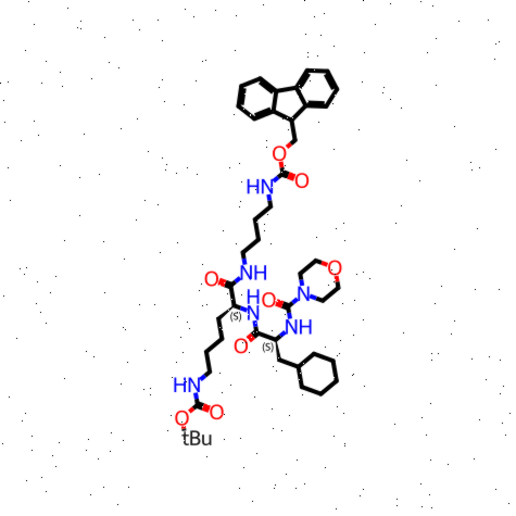 CC(C)(C)OC(=O)NCCCC[C@H](NC(=O)[C@H](CC1CCCCC1)NC(=O)N1CCOCC1)C(=O)NCCCCNC(=O)OCC1c2ccccc2-c2ccccc21